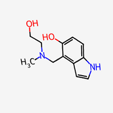 CN(CCO)Cc1c(O)ccc2[nH]ccc12